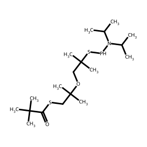 CC(C)N(PSC(C)(C)COC(C)(C)CSC(=O)C(C)(C)C)C(C)C